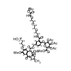 C=C1C[C@H]2C(O)N(C(=O)OCc3ccc(O[C@@H]4O[C@H](C(=O)OC)[C@@H](OC(C)=O)[C@H](OC(C)=O)[C@H]4OC(C)=O)c(C(=O)NCCOCCOCCONC(=O)OC(C)(C)C)c3)c3cc(OCCCC(=O)O)c(OC)cc3C(=O)N2C1